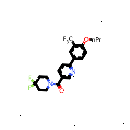 CCCOc1ccc(-c2ccc(C(=O)N3CCC(F)(F)CC3)cn2)cc1C(F)(F)F